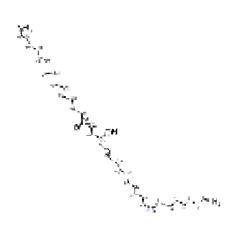 CCCCCCCC/C=C\CCCCCCCCOCC(O)COC(=O)CCCCCCCCCCCCCCC